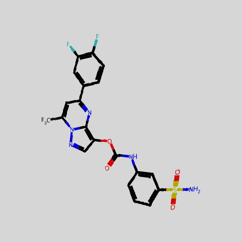 NS(=O)(=O)c1cccc(NC(=O)Oc2cnn3c(C(F)(F)F)cc(-c4ccc(F)c(F)c4)nc23)c1